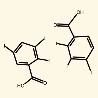 O=C(O)c1cc(I)cc(I)c1I.O=C(O)c1ccc(I)c(I)c1I